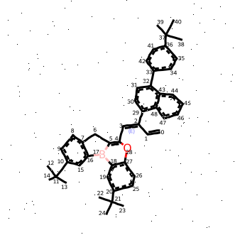 C=C/C(=C\C1=C2Cc3ccc(C(C)(C)C)cc3B2c2cc(C(C)(C)C)ccc2O1)c1ccc(-c2ccc(C(C)(C)C)cc2)c2ccccc12